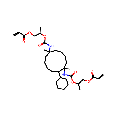 C=CC(=O)OCC(C)OC(=O)NC1(C)CCCCC(C2CCCCC2)C(C)(NC(=O)OC(C)COC(=O)C=C)CCCC1